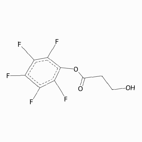 O=C(CCO)Oc1c(F)c(F)c(F)c(F)c1F